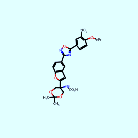 CCCOc1ccc(-c2nc(-c3ccc4oc(C5(NC(=O)O)COC(C)(C)OC5)cc4c3)no2)cc1[N+](=O)[O-]